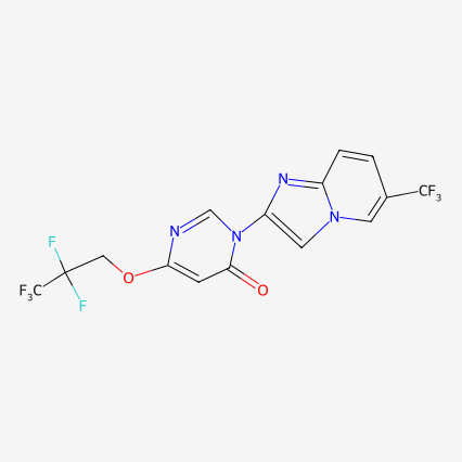 O=c1cc(OCC(F)(F)C(F)(F)F)ncn1-c1cn2cc(C(F)(F)F)ccc2n1